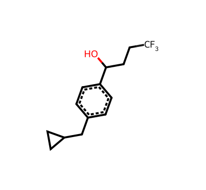 OC(CCC(F)(F)F)c1ccc(CC2CC2)cc1